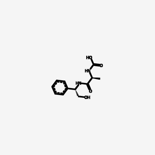 C[C@H](NC(=O)O)C(=O)N[C@H](CO)c1ccccc1